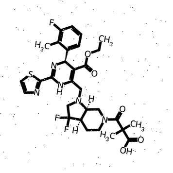 CCOC(=O)C1=C(CN2CC(F)(F)[C@@H]3CCN(C(=O)C(C)(C)C(=O)O)C[C@@H]32)NC(c2nccs2)=N[C@H]1c1cccc(F)c1C